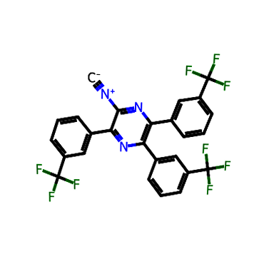 [C-]#[N+]c1nc(-c2cccc(C(F)(F)F)c2)c(-c2cccc(C(F)(F)F)c2)nc1-c1cccc(C(F)(F)F)c1